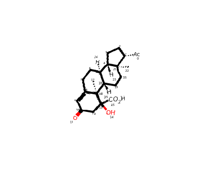 CC(=O)[C@H]1CC[C@H]2[C@@H]3CCC4=CC(=O)CC(O)(C(=O)O)[C@]4(C)[C@H]3CC[C@]12C